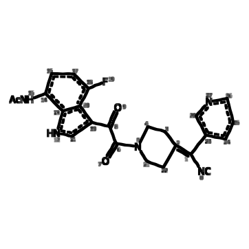 [C-]#[N+]C(=C1CCN(C(=O)C(=O)c2c[nH]c3c(NC(C)=O)ccc(F)c23)CC1)c1cccnc1